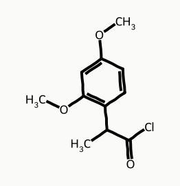 COc1ccc(C(C)C(=O)Cl)c(OC)c1